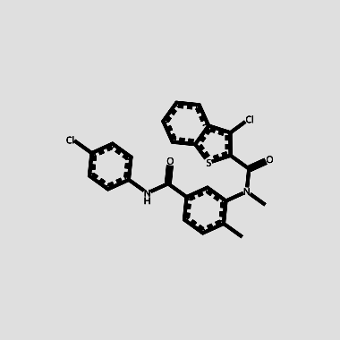 Cc1ccc(C(=O)Nc2ccc(Cl)cc2)cc1N(C)C(=O)c1sc2ccccc2c1Cl